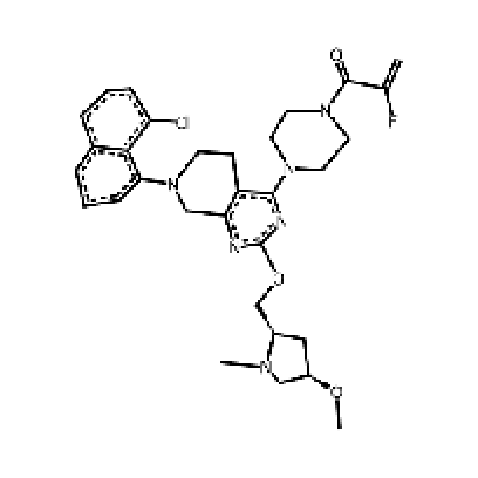 C=C(F)C(=O)N1CCN(c2nc(OC[C@H]3C[C@@H](OC)CN3C)nc3c2CCN(c2cccc4cccc(Cl)c24)C3)CC1